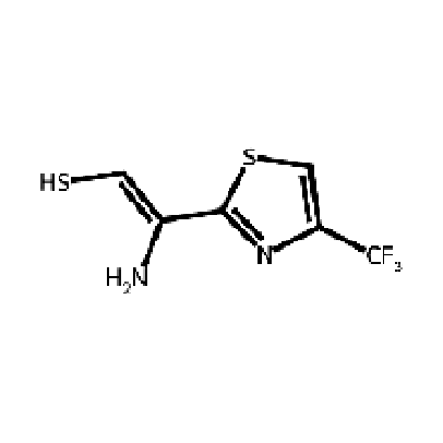 N/C(=C\S)c1nc(C(F)(F)F)cs1